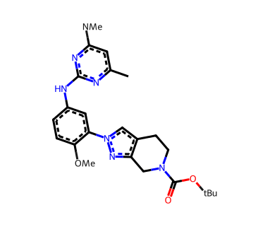 CNc1cc(C)nc(Nc2ccc(OC)c(-n3cc4c(n3)CN(C(=O)OC(C)(C)C)CC4)c2)n1